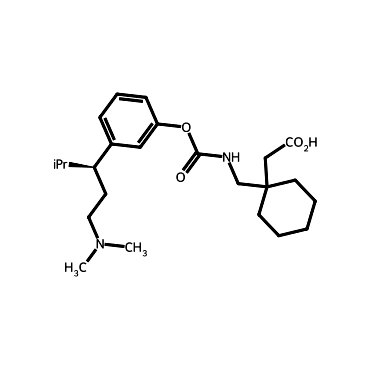 CC(C)[C@H](CCN(C)C)c1cccc(OC(=O)NCC2(CC(=O)O)CCCCC2)c1